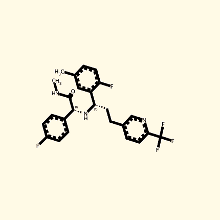 CNC(=O)[C@H](N[C@@H](CCc1ccc(C(F)(F)F)nc1)c1cc(C)ccc1F)c1ccc(F)cc1